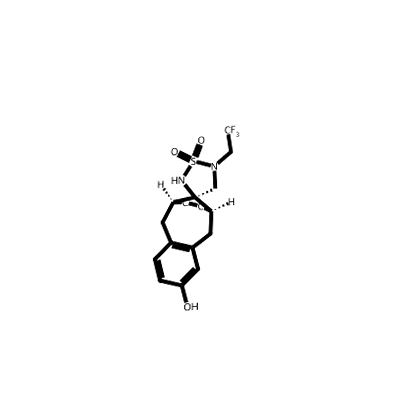 O=S1(=O)N[C@@]2(CN1CC(F)(F)F)[C@@H]1CC[C@H]2Cc2ccc(O)cc2C1